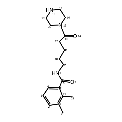 Cc1cccc(C(=O)NCCCCC(=O)N2CCNCC2)c1C